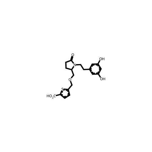 O=C(O)c1ccc(COCC2CCC(=O)N2CCc2cc(O)cc(O)c2)s1